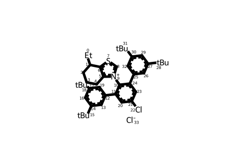 CCC1CCCc2c1sc[n+]2-c1c(-c2cc(C(C)(C)C)cc(C(C)(C)C)c2)cc(Cl)cc1-c1cc(C(C)(C)C)cc(C(C)(C)C)c1.[Cl-]